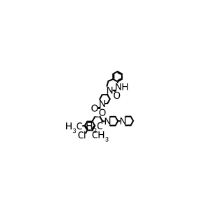 C=C([C@@H](Cc1cc(C)c(Cl)c(C)c1)OC(=O)N1CCC(N2CCc3ccccc3NC2=O)CC1)N1CCC(N2CCCCC2)CC1